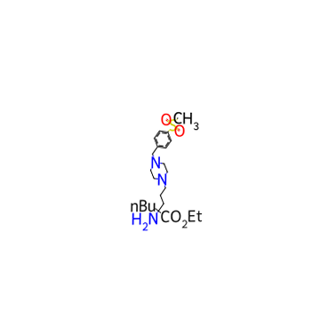 [CH2]CCCC(N)(CCCN1CCN(Cc2ccc(S(C)(=O)=O)cc2)CC1)C(=O)OCC